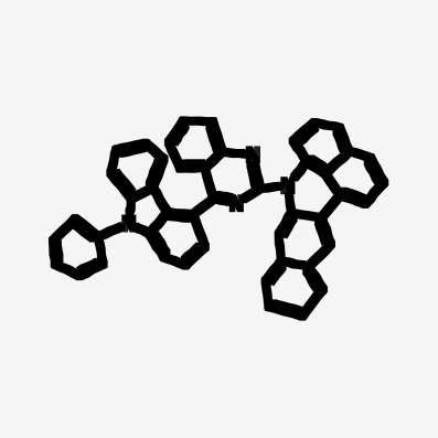 c1ccc(-n2c3ccccc3c3c(-c4nc(N5c6cc7ccccc7cc6-c6cccc7cccc5c67)nc5ccccc45)cccc32)cc1